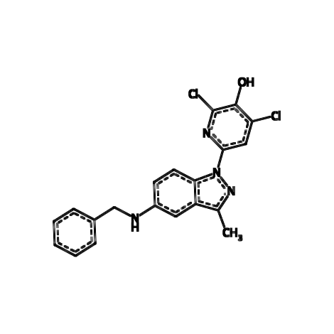 Cc1nn(-c2cc(Cl)c(O)c(Cl)n2)c2ccc(NCc3ccccc3)cc12